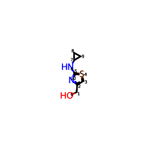 OCc1csc(NC2CC2)n1